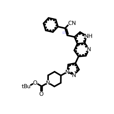 CC(C)(C)OC(=O)N1CCC(n2cc(-c3cnc4[nH]cc(/C=C(\C#N)c5ccccc5)c4c3)cn2)CC1